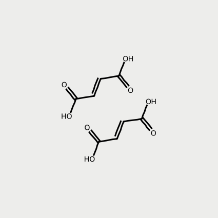 O=C(O)C=CC(=O)O.O=C(O)C=CC(=O)O